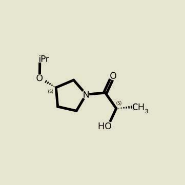 CC(C)O[C@H]1CCN(C(=O)[C@H](C)O)C1